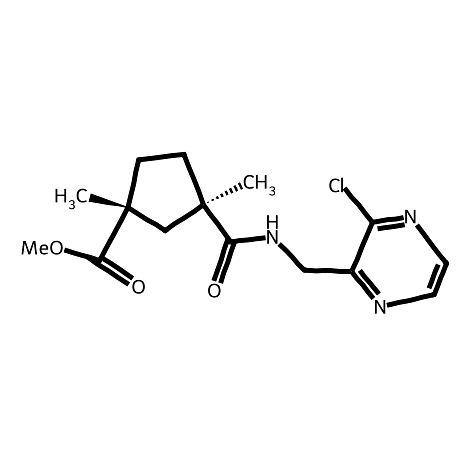 COC(=O)[C@]1(C)CC[C@@](C)(C(=O)NCc2nccnc2Cl)C1